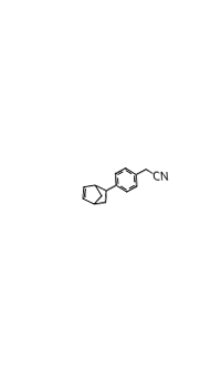 N#CCc1ccc(C2CC3C=CC2C3)cc1